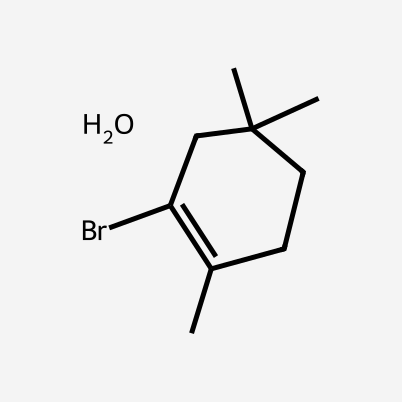 CC1=C(Br)CC(C)(C)CC1.O